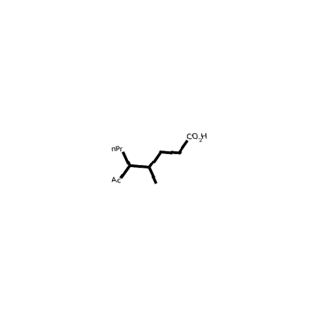 CCCC(C(C)=O)C(C)CCC(=O)O